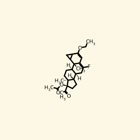 CCOC1=CC2=C(F)C[C@@H]3[C@@H](CC[C@@]4(C)[C@H]3CC[C@]4(OC(C)=O)C(C)=O)[C@]2(C)C2CC12